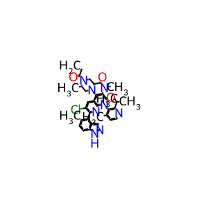 C=CC(=O)N1CC2C(=O)N(C)c3c(c4cc(Cl)c(-c5c(C)ccc6[nH]ncc56)nc4n(-c4c(C)ccnc4C(C)C)c3=O)N2CC1C